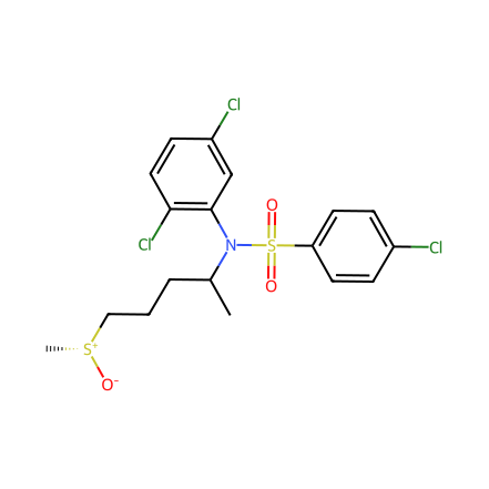 CC(CCC[S@@+](C)[O-])N(c1cc(Cl)ccc1Cl)S(=O)(=O)c1ccc(Cl)cc1